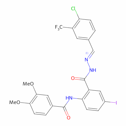 COc1ccc(C(=O)Nc2ccc(I)cc2C(=O)N/N=C/c2ccc(Cl)c(C(F)(F)F)c2)cc1OC